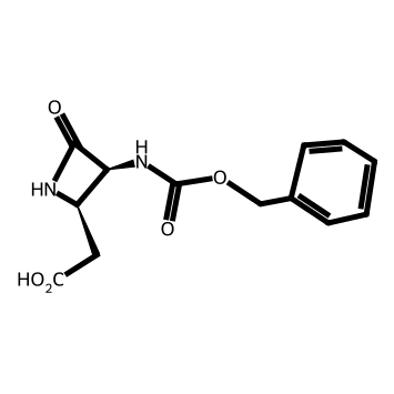 O=C(O)C[C@H]1NC(=O)[C@H]1NC(=O)OCc1ccccc1